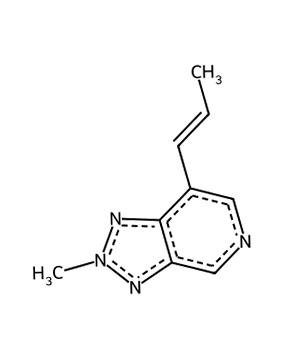 C/C=C/c1cncc2nn(C)nc12